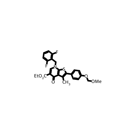 CCOC(=O)c1cn(Cc2c(F)cccc2F)c2sc(-c3ccc(OCOC)cc3)c(C)c2c1=O